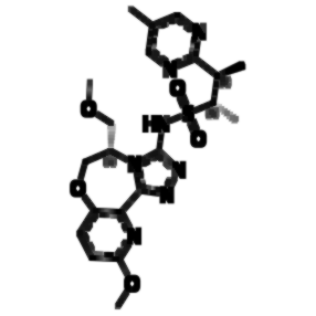 COC[C@H]1COc2ccc(OC)nc2-c2nnc(NS(=O)(=O)[C@@H](C)[C@H](C)c3ncc(C)cn3)n21